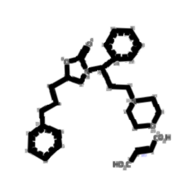 O=C(O)/C=C/C(=O)O.O=C1OC(CCCc2ccccc2)CN1C(CCN1CCOCC1)c1ccccc1